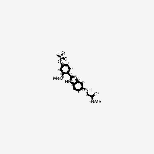 CNC(=O)CNc1ccc2[nH]c(-c3ccc(OS(C)(=O)=O)cc3OC)nc2c1